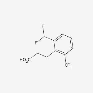 O=C(O)CCc1c(C(F)F)cccc1C(F)(F)F